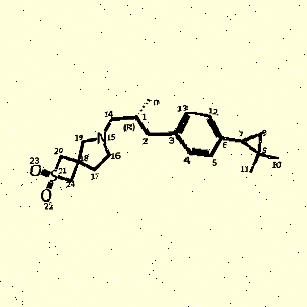 C[C@H](Cc1ccc(C2CC2(C)C)cc1)CN1CCC2(C1)CS(=O)(=O)C2